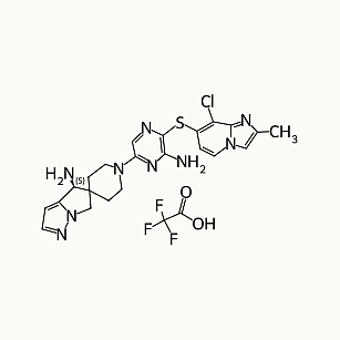 Cc1cn2ccc(Sc3ncc(N4CCC5(CC4)Cn4nccc4[C@H]5N)nc3N)c(Cl)c2n1.O=C(O)C(F)(F)F